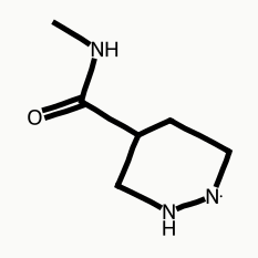 CNC(=O)C1CC[N]NC1